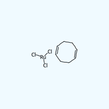 C1=CCCC=CCC1.[Cl][Ru]([Cl])[Cl]